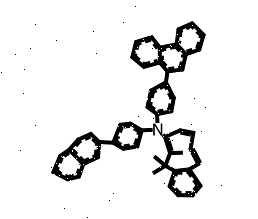 C\C1=C(N(c2ccc(-c3ccc4ccccc4c3)cc2)c2ccc(-c3cc4ccccc4c4ccccc34)cc2)/C=C\C=C\c2ccccc2C1(C)C